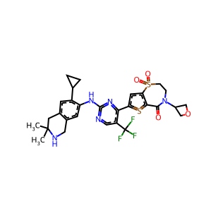 CC1(C)Cc2cc(C3CC3)c(Nc3ncc(C(F)(F)F)c(-c4cc5c(s4)C(=O)N(C4COC4)CCS5(=O)=O)n3)cc2CN1